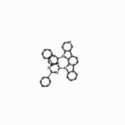 c1ccc(-c2nc(-c3ccccc3)nc(-n3c4ccccc4c4ccc5c6cnccc6n(-c6ccccc6)c5c43)n2)cc1